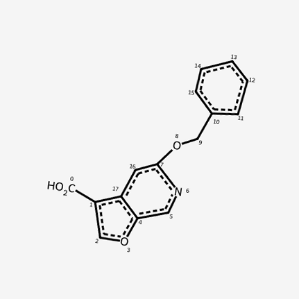 O=C(O)c1coc2cnc(OCc3ccccc3)cc12